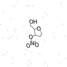 O=[N+]([O-])OC1CCOC1CO